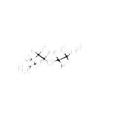 CC(F)(F)C(F)(F)OC(F)(F)C(F)(F)S(C)(=O)=O